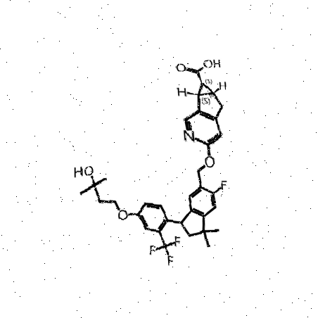 CC(C)(O)CCOc1ccc(C2CC(C)(C)c3cc(F)c(COc4cc5c(cn4)[C@H]4[C@@H](C5)[C@@H]4C(=O)O)cc32)c(C(F)(F)F)c1